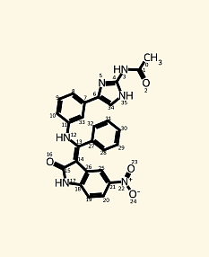 CC(=O)Nc1nc(-c2cccc(N/C(=C3\C(=O)Nc4ccc([N+](=O)[O-])cc43)c3ccccc3)c2)c[nH]1